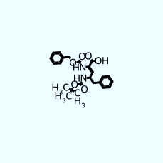 CC(C)(C)OC(=O)NC(/C=C(\NC(=O)OCc1ccccc1)C(=O)O)Cc1ccccc1